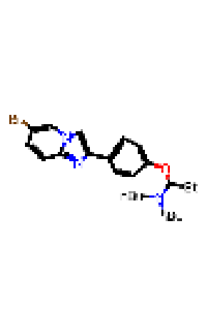 CCCCN(CCCC)C(CC)Oc1ccc(-c2cn3cc(Br)ccc3n2)cc1